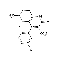 CCOC(=O)c1c(-c2cccc(Cl)c2)c2c([nH]c1=O)CCC(C)C2